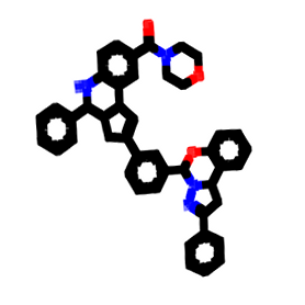 O=C(c1ccc2c(c1)C1C=C(c3cccc(C4Oc5ccccc5C5CC(c6ccccc6)=NN54)c3)CC1C(c1ccccc1)N2)N1CCOCC1